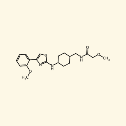 COCC(=O)NCC1CCC(Nc2nc(-c3ccccc3OC)cs2)CC1